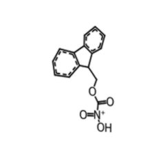 O=C(OCC1c2ccccc2-c2ccccc21)[N+](=O)O